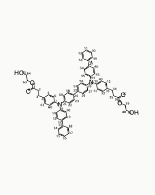 O=C(CCc1ccc(N(c2ccc(-c3ccccc3)cc2)c2ccc(-c3ccc(N(c4ccc(CCC(=O)OCCO)cc4)c4ccc(-c5ccccc5)cc4)cc3)cc2)cc1)OCCO